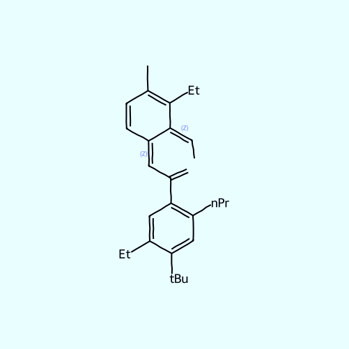 C=C(/C=c1/ccc(C)c(CC)/c1=C/C)c1cc(CC)c(C(C)(C)C)cc1CCC